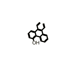 C=Cc1c(C=C)c2cccc(O)c2c2ccccc12